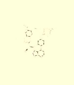 COc1ccc([C@@H](C)NC(=O)/C(C#N)=C/c2c[nH]c3nccc(-c4ccc(CN5CCN(C)CC5)cc4)c23)cc1OC